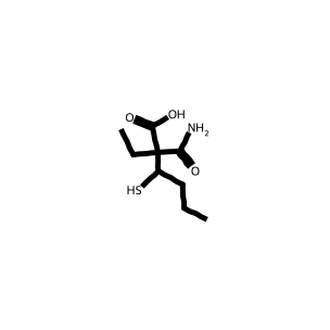 CCCC(S)C(CC)(C(N)=O)C(=O)O